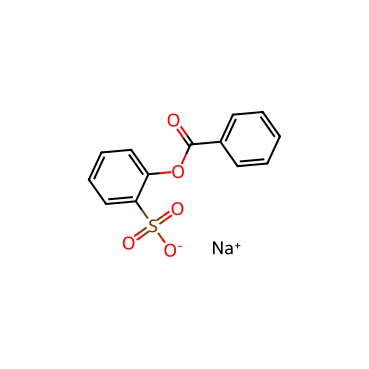 O=C(Oc1ccccc1S(=O)(=O)[O-])c1ccccc1.[Na+]